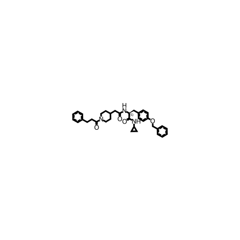 O=C(CC1CCN(C(=O)CCc2ccccc2)CC1)N[C@@H](Cc1ccc(OCc2ccccc2)cc1)C(=O)NC1CC1